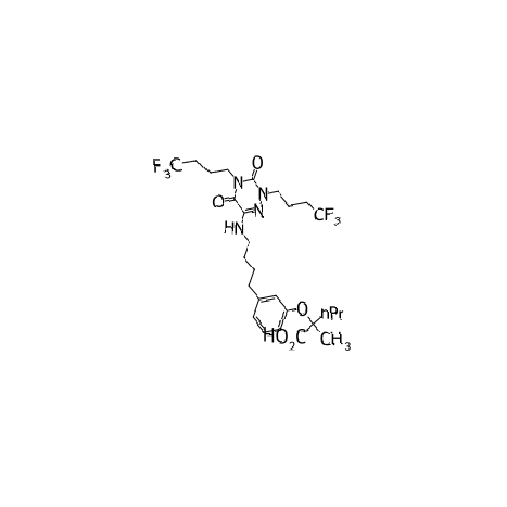 CCCC(C)(Oc1cccc(CCCCNc2nn(CCCC(F)(F)F)c(=O)n(CCCC(F)(F)F)c2=O)c1)C(=O)O